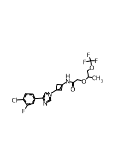 CC(COC(F)(F)F)OCC(=O)NC12CC(n3cnc(-c4ccc(Cl)c(F)c4)c3)(C1)C2